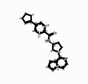 O=C(N[C@H]1CCN(c2nccn3cccc23)C1)c1ncc(C2=CCCC2)cn1